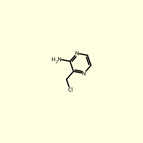 Nc1nccnc1CCl